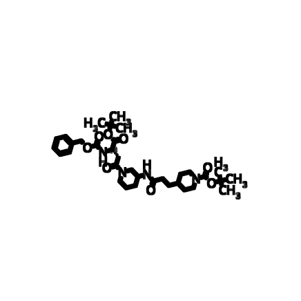 CC(C)(C)OC(=O)[C@H](CC(=O)N1CCCC(NC(=O)CCC2CCN(C(=O)OC(C)(C)C)CC2)C1)NC(=O)OCc1ccccc1